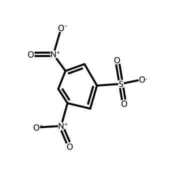 [O]S(=O)(=O)c1cc([N+](=O)[O-])cc([N+](=O)[O-])c1